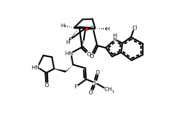 CS(=O)(=O)/C(F)=C/[C@H](C[C@@H]1CCNC1=O)NC(=O)[C@H]1[C@H]2CC[C@H](CC2(F)F)N1C(=O)c1cc2cccc(Cl)c2[nH]1